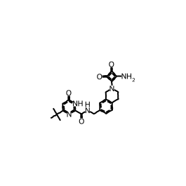 CC(C)(C)c1cc(=O)[nH]c(C(=O)NCc2ccc3c(c2)CN(c2c(N)c(=O)c2=O)CC3)n1